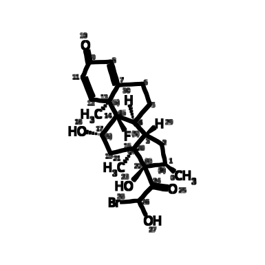 C[C@@H]1C[C@H]2[C@@H]3CCC4=CC(=O)C=C[C@]4(C)[C@@]3(F)[C@@H](O)C[C@]2(C)[C@@]1(O)C(=O)C(O)Br